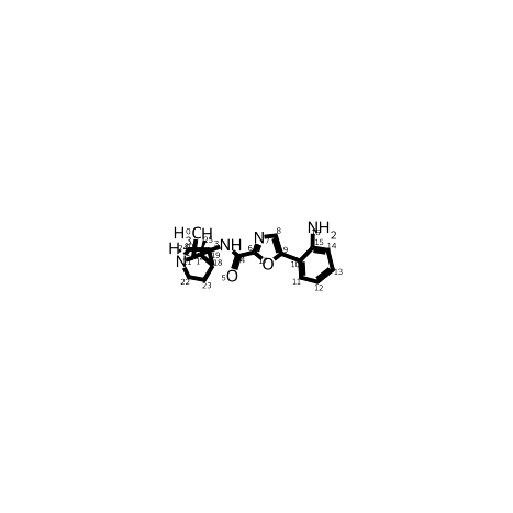 C[C@H]1[C@H](NC(=O)c2ncc(-c3ccccc3N)o2)C2CCN1CC2